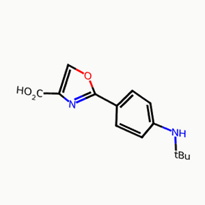 CC(C)(C)Nc1ccc(-c2nc(C(=O)O)co2)cc1